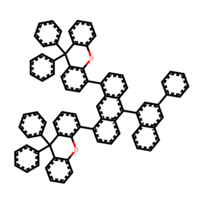 c1ccc(-c2cc(-c3c4cccc(-c5cccc6c5Oc5ccccc5C6(c5ccccc5)c5ccccc5)c4cc4c(-c5cccc6c5Oc5ccccc5C6(c5ccccc5)c5ccccc5)cccc34)c3ccccc3c2)cc1